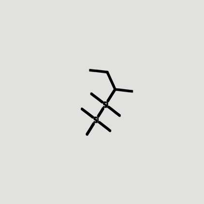 CCC(C)[Si](C)(C)[Si](C)(C)C